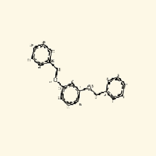 [c]1c(OCc2ccccc2)cccc1OCc1ccccc1